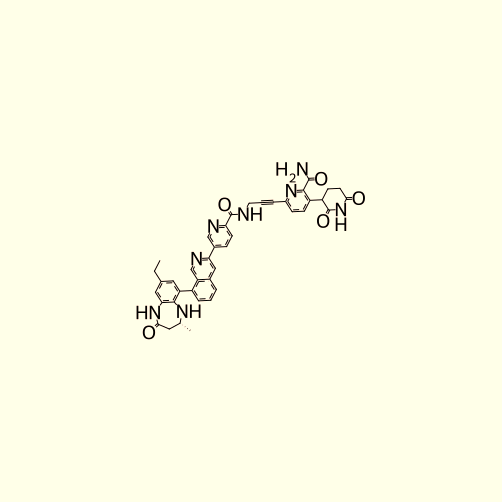 CCc1cc2c(c(-c3cccc4cc(-c5ccc(C(=O)NCC#Cc6ccc(C7CCC(=O)NC7=O)c(C(N)=O)n6)nc5)ncc34)c1)N[C@H](C)CC(=O)N2